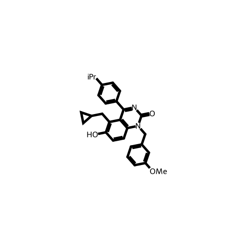 COc1cccc(Cn2c(=O)nc(-c3ccc(C(C)C)cc3)c3c(CC4CC4)c(O)ccc32)c1